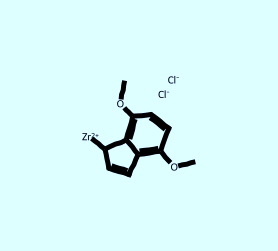 COc1ccc(OC)c2c1C=C[CH]2[Zr+2].[Cl-].[Cl-]